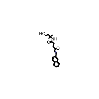 CC(C)(CCO)NC(=O)CCC(=O)/C=C/c1ccc2ccccc2c1